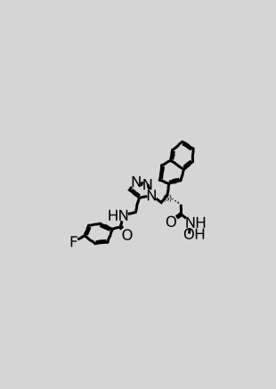 O=C(C[C@H](Cn1nncc1CNC(=O)c1ccc(F)cc1)c1ccc2ccccc2c1)NO